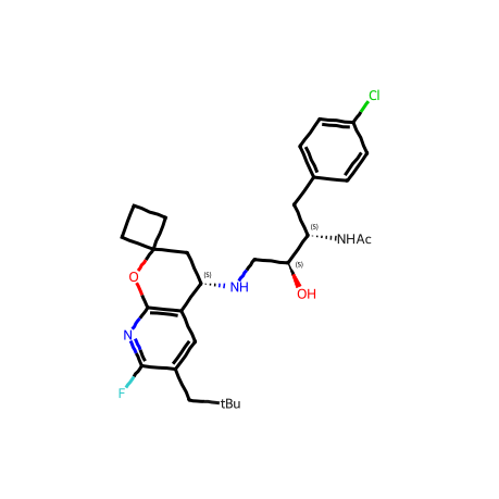 CC(=O)N[C@@H](Cc1ccc(Cl)cc1)[C@@H](O)CN[C@H]1CC2(CCC2)Oc2nc(F)c(CC(C)(C)C)cc21